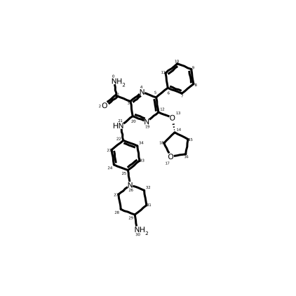 NC(=O)c1nc(-c2ccccc2)c(O[C@@H]2CCOC2)nc1Nc1ccc(N2CCC(N)CC2)cc1